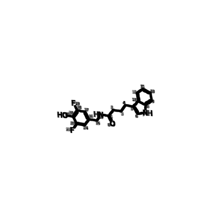 O=C(CCCc1c[nH]c2ccccc12)NCc1cc(F)c(O)c(F)c1